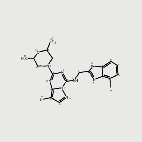 CC1CN(c2nc(NCc3nc4c(F)cccc4[nH]3)n3ncc(Br)c3n2)CC(C)O1